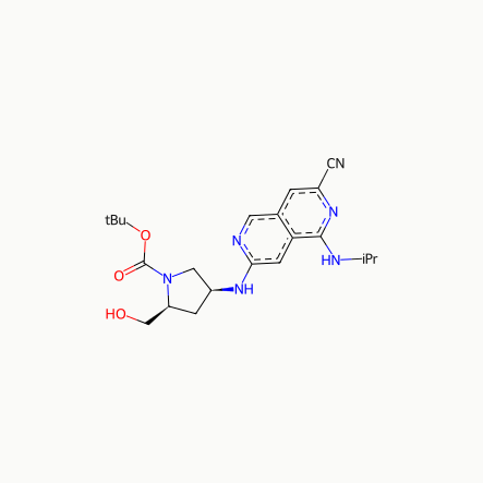 CC(C)Nc1nc(C#N)cc2cnc(N[C@H]3C[C@@H](CO)N(C(=O)OC(C)(C)C)C3)cc12